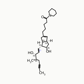 CC#CC[C@@H](C)[C@H](O)/C=C/[C@@H]1[C@H]2CC(CCCCC(=O)N3CCCCC3)=C[C@H]2C[C@H]1O